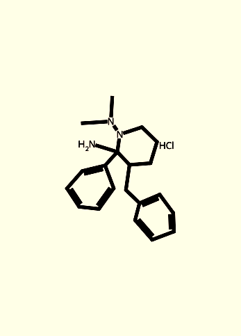 CN(C)N1CCCC(Cc2ccccc2)C1(N)c1ccccc1.Cl